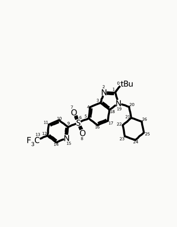 CC(C)(C)c1nc2cc(S(=O)(=O)c3ccc(C(F)(F)F)cn3)ccc2n1CC1CCCCC1